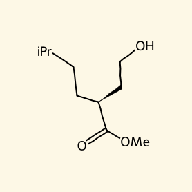 COC(=O)[C@H](CCO)CCC(C)C